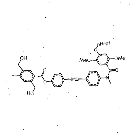 CCCCCCCOc1cc(OC)c(C(=O)N(C)c2ccc(C#Cc3ccc(OC(=O)c4cc(CO)c(C)cc4CO)cc3)cc2)cc1OC